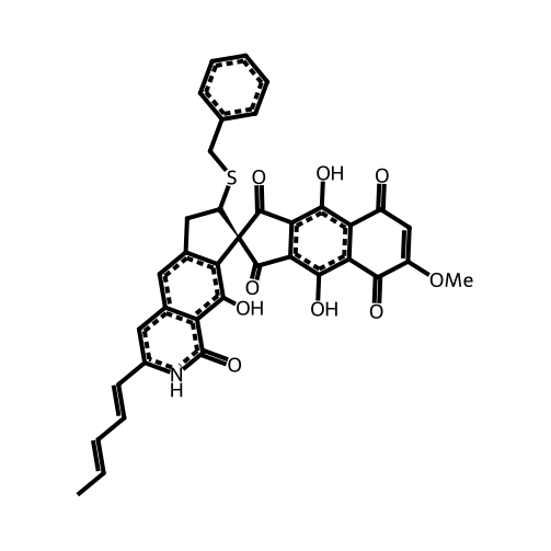 C/C=C/C=C/c1cc2cc3c(c(O)c2c(=O)[nH]1)[C@@]1(C(=O)c2c(O)c4c(c(O)c2C1=O)C(=O)C(OC)=CC4=O)C(SCc1ccccc1)C3